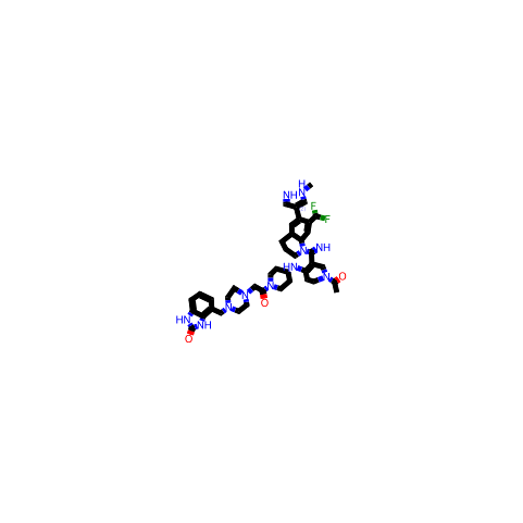 CN/C=C(\C=N)C1=CC2CCCN(C(=N)C3=C(NC4CCN(C(=O)CN5CCN(Cc6cccc7[nH]c(=O)[nH]c67)CC5)CC4)CCN(C(C)=O)C3)C2C=C1C(F)F